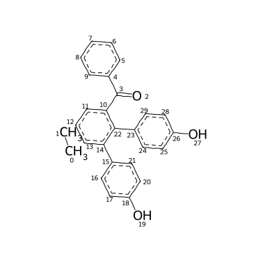 CC.O=C(c1ccccc1)c1cccc(-c2ccc(O)cc2)c1-c1ccc(O)cc1